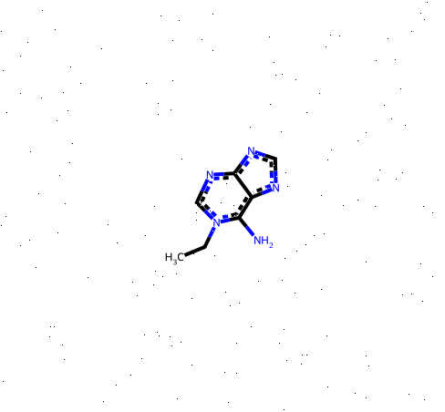 CCn1cnc2ncnc-2c1N